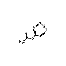 CC(=O)OC1=NN=NN=NC=C1